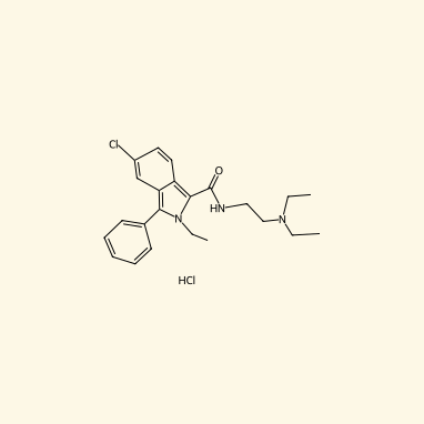 CCN(CC)CCNC(=O)c1c2ccc(Cl)cc2c(-c2ccccc2)n1CC.Cl